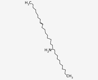 CCCCCCCCC=CCCCCCCCCC(N)CCCCCCCCCCC